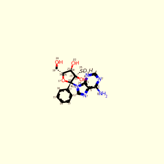 Nc1ncnc2c1ncn2[C@]1(c2ccccc2)O[C@H](CO)[C@@H](O)[C@]1(O)S(=O)(=O)O